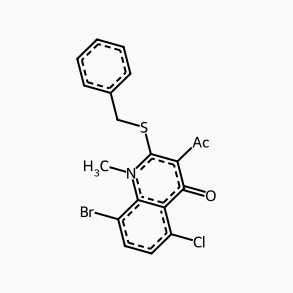 CC(=O)c1c(SCc2ccccc2)n(C)c2c(Br)ccc(Cl)c2c1=O